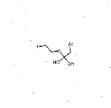 CC(=O)CC(O)(O)OCCF